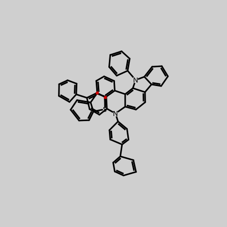 c1ccc(-c2ccc(N(c3ccc(-c4ccccc4)cc3)c3ccc4c5ccccc5n(-c5ccccc5)c4c3-c3cccc4c3sc3ccccc34)cc2)cc1